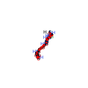 CNC(=O)c1ccccc1Nc1nc(Nc2ccc(N3CCN(C(=O)NCCOCC(=O)COCCOCCC(=O)Nc4ccc5c(c4)CN(C4CCC(=O)NC4=O)C5=O)CC3)cc2)ncc1Cl